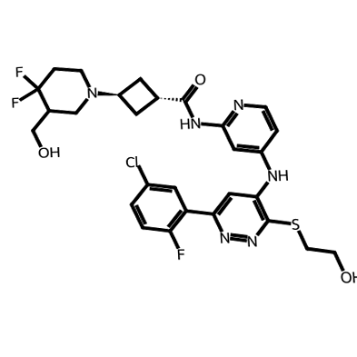 O=C(Nc1cc(Nc2cc(-c3cc(Cl)ccc3F)nnc2SCCO)ccn1)[C@H]1C[C@H](N2CCC(F)(F)C(CO)C2)C1